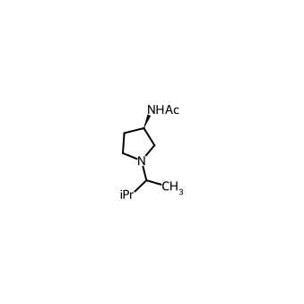 CC(=O)N[C@@H]1CCN(C(C)C(C)C)C1